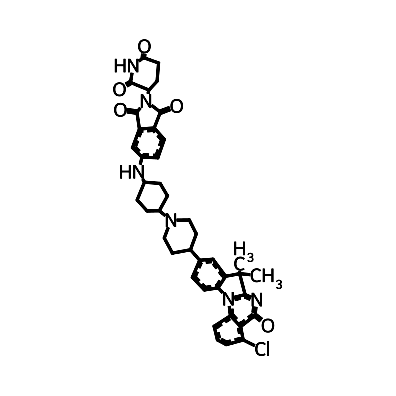 CC1(C)c2cc(C3CCN(C4CCC(Nc5ccc6c(c5)C(=O)N(C5CCC(=O)NC5=O)C6=O)CC4)CC3)ccc2-n2c1nc(=O)c1c(Cl)cccc12